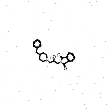 O=C1c2ccccc2C(=O)N1CC(O)CN1CCC(Cc2ccccc2)CC1